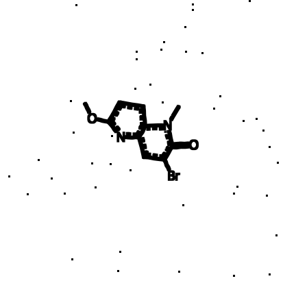 COc1ccc2c(cc(Br)c(=O)n2C)n1